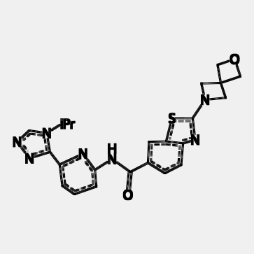 CC(C)n1cnnc1-c1cccc(NC(=O)c2ccc3nc(N4CC5(COC5)C4)sc3c2)n1